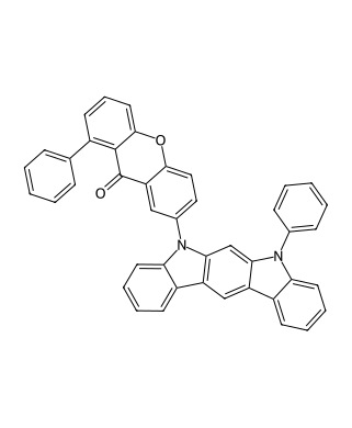 O=c1c2cc(-n3c4ccccc4c4cc5c6ccccc6n(-c6ccccc6)c5cc43)ccc2oc2cccc(-c3ccccc3)c12